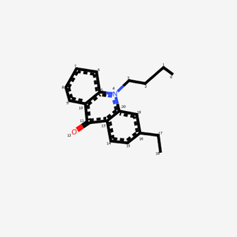 CCCCn1c2ccccc2c(=O)c2ccc(CC)cc21